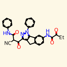 CCC(=O)C(=O)Nc1ccc2c(c1)-c1c(c(C(=O)C(C#N)C(=O)Nc3ccccc3)nn1-c1ccccc1)C2